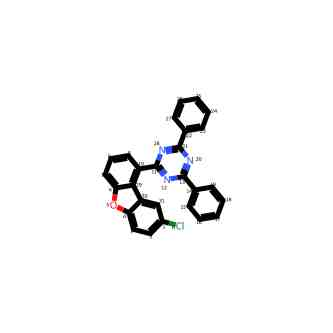 Clc1ccc2oc3cccc(-c4nc(-c5ccccc5)nc(-c5ccccc5)n4)c3c2c1